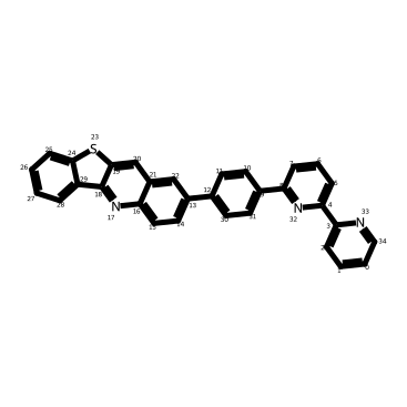 c1ccc(-c2cccc(-c3ccc(-c4ccc5nc6c(cc5c4)sc4ccccc46)cc3)n2)nc1